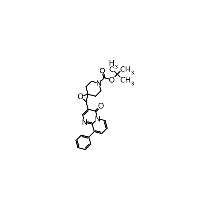 CC(C)(C)OC(=O)N1CCC2(CC1)OC2c1cnc2c(-c3ccccc3)cccn2c1=O